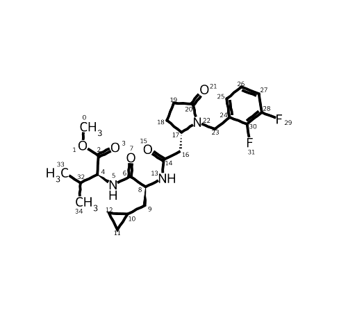 COC(=O)[C@@H](NC(=O)[C@H](CC1CC1)NC(=O)C[C@@H]1CCC(=O)N1Cc1cccc(F)c1F)C(C)C